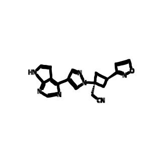 N#CC[C@]1(n2cc(-c3ncnc4[nH]ccc34)cn2)C[C@@H](c2ccon2)C1